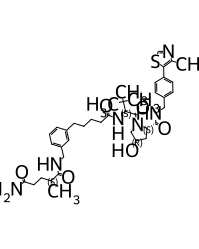 Cc1ncsc1-c1ccc(CNC(=O)[C@@H]2C[C@@H](O)CN2C(=O)[C@@H](NC(=O)CCCCc2cccc(CNC(=O)[C@@H](C)CCC(N)=O)c2)C(C)(C)C)cc1